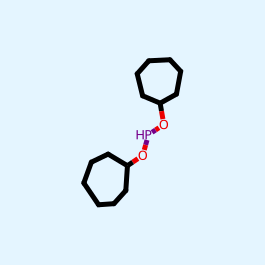 C1CCCC(OPOC2CCCCCC2)CC1